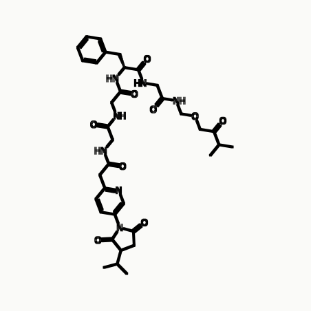 CC(C)C(=O)COCNC(=O)CNC(=O)[C@H](Cc1ccccc1)NC(=O)CNC(=O)CNC(=O)Cc1ccc(N2C(=O)CC(C(C)C)C2=O)cn1